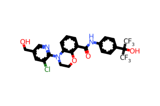 O=C(Nc1ccc(C(O)(C(F)(F)F)C(F)(F)F)cc1)c1cccc2c1OCCN2c1ncc(CO)cc1Cl